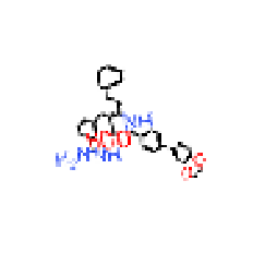 N=C(N)c1cccc(CC(CO)C(CCc2ccccc2)NC(=O)c2ccc(-c3ccc4c(c3)OCCO4)cc2)c1